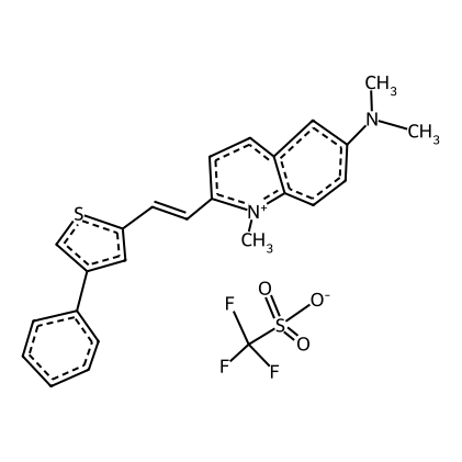 CN(C)c1ccc2c(ccc(/C=C/c3cc(-c4ccccc4)cs3)[n+]2C)c1.O=S(=O)([O-])C(F)(F)F